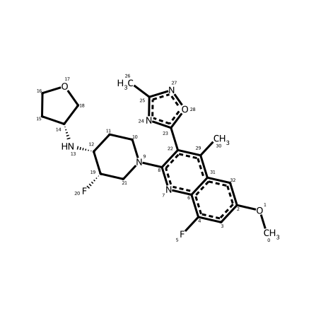 COc1cc(F)c2nc(N3CC[C@@H](N[C@@H]4CCOC4)[C@@H](F)C3)c(-c3nc(C)no3)c(C)c2c1